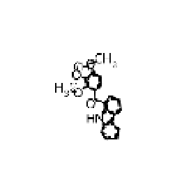 COc1ccc(C(=O)c2cccc3c2[nH]c2ccccc23)c(OC)c1OC